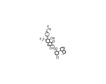 Cc1nc2cc(C(F)(F)F)c(N3CCN(CC(F)F)CC3)c(C#N)c2c(=O)n1CCOc1ccc(Cl)cc1-c1ccnc2ccsc12